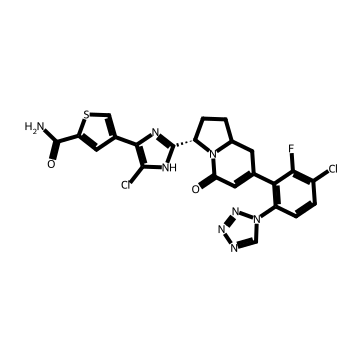 NC(=O)c1cc(-c2nc([C@@H]3CCC4CC(c5c(-n6cnnn6)ccc(Cl)c5F)=CC(=O)N43)[nH]c2Cl)cs1